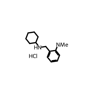 CNc1ccccc1CNC1CCCCC1.Cl